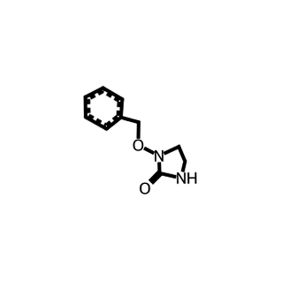 O=C1NCCN1OCc1ccccc1